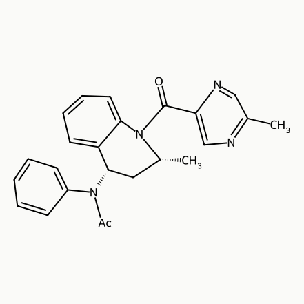 CC(=O)N(c1ccccc1)[C@H]1C[C@@H](C)N(C(=O)c2cnc(C)cn2)c2ccccc21